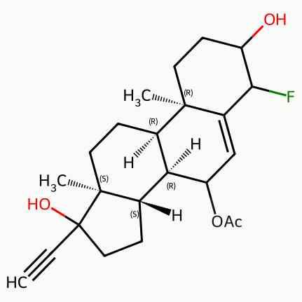 C#CC1(O)CC[C@H]2[C@@H]3C(OC(C)=O)C=C4C(F)C(O)CC[C@]4(C)[C@@H]3CC[C@@]21C